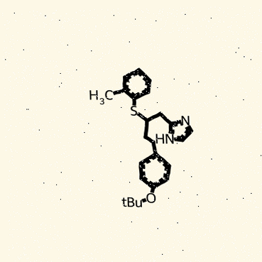 Cc1ccccc1SC(CCc1ccc(OC(C)(C)C)cc1)Cc1ncc[nH]1